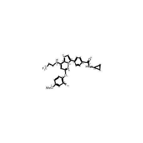 COc1ccc(Oc2cc(NCCC(F)(F)F)c3ncc(-c4ccc(C(=O)NC5CC5)cc4)n3n2)c(F)c1